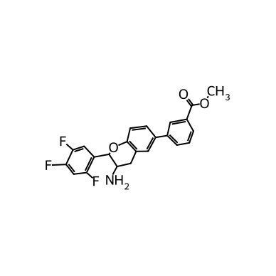 COC(=O)c1cccc(-c2ccc3c(c2)CC(N)C(c2cc(F)c(F)cc2F)O3)c1